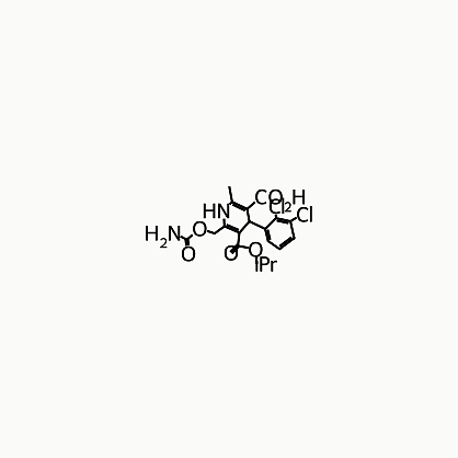 CC1=C(C(=O)O)C(c2cccc(Cl)c2Cl)C(C(=O)OC(C)C)=C(COC(N)=O)N1